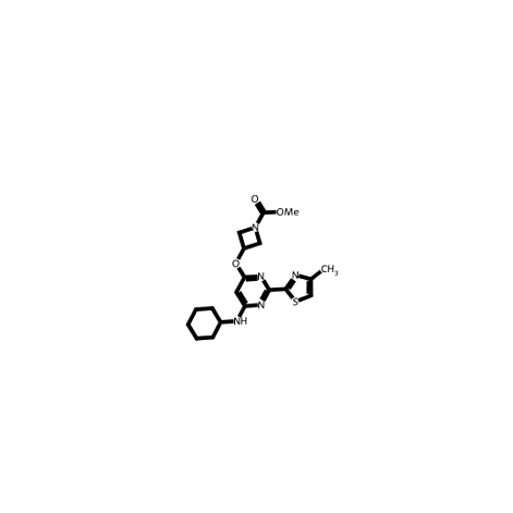 COC(=O)N1CC(Oc2cc(NC3CCCCC3)nc(-c3nc(C)cs3)n2)C1